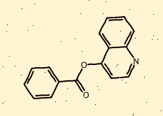 O=C(Oc1ccnc2ccccc12)c1ccccc1